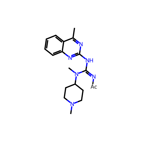 CC(=O)N=C(Nc1nc(C)c2ccccc2n1)N(C)C1CCN(C)CC1